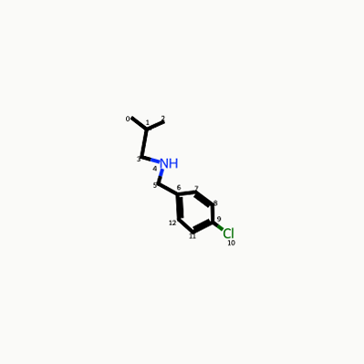 C[C](C)CNCc1ccc(Cl)cc1